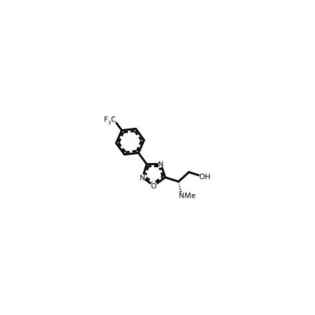 CN[C@@H](CO)c1nc(-c2ccc(C(F)(F)F)cc2)no1